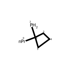 CCCC1(P)CCC1